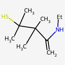 C=C(NCC)C(C)(C)C(C)(C)S